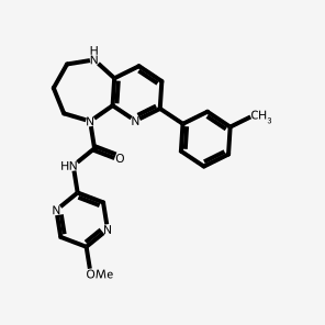 COc1cnc(NC(=O)N2CCCNc3ccc(-c4cccc(C)c4)nc32)cn1